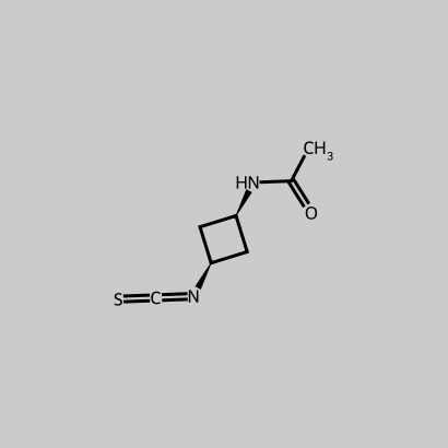 CC(=O)N[C@H]1C[C@@H](N=C=S)C1